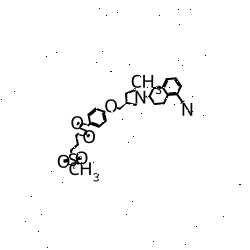 C[C@@H]1C[C@H](COc2ccc(S(=O)(=O)CCCS(C)(=O)=O)cc2)CN1[C@@H]1CCc2c(C#N)cccc2C1